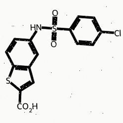 O=C(O)c1cc2cc(NS(=O)(=O)c3ccc(Cl)cc3)ccc2s1